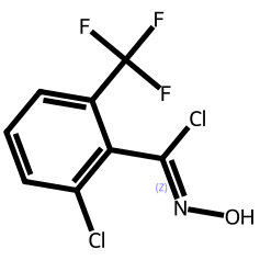 O/N=C(\Cl)c1c(Cl)cccc1C(F)(F)F